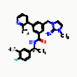 Cc1cc([C@H](C)NC(=O)c2cc(Cn3ccn(C)c3=N)cc(-c3cccnc3C(F)(F)F)c2)ccc1F